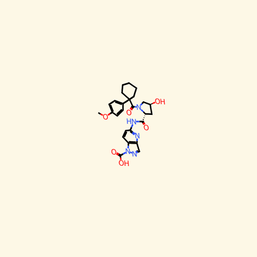 COc1ccc(C2(C(=O)N3C[C@@H](O)C[C@@H]3C(=O)Nc3ccc4c(cnn4C(=O)O)n3)CCCCC2)cc1